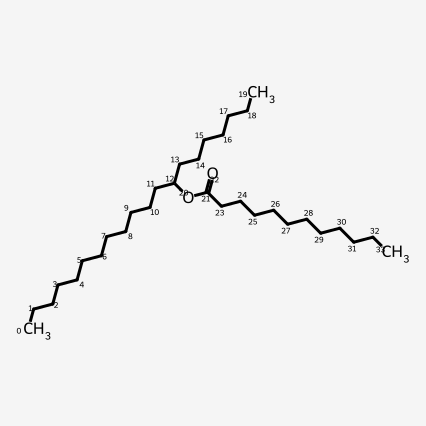 CCCCCCCCCCCCC(CCCCCCC)OC(=O)CCCCCCCCCCC